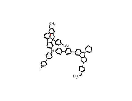 C=Cc1ccc(CC2(c3ccc(C(C)(C)C)cc3)c3ccccc3-c3ccc(N(c4ccc(-c5ccc(F)cc5)cc4)c4ccc(-c5ccc(-c6ccc7c(c6)c6cc(-c8ccc(C=C)cc8)ccc6n7-c6ccccc6)cc5)cc4)cc32)cc1